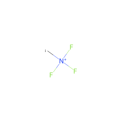 [CH][N+](F)(F)F